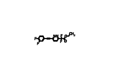 CCOC(=O)C(F)(F)c1ccc(C#Cc2ccc(F)c(F)c2)nn1